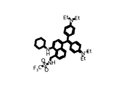 CCN(CC)c1ccc(C(=C2C=CC(=[N+](CC)CC)C=C2)c2ccc(NC3CCCCC3)c3c(CNS(=O)(=O)C(F)(F)F)cccc23)cc1